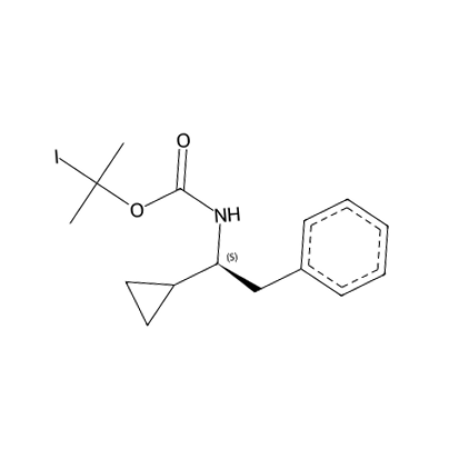 CC(C)(I)OC(=O)N[C@@H](Cc1ccccc1)C1CC1